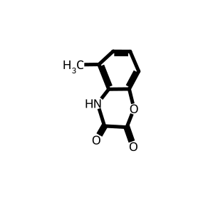 Cc1cccc2oc(=O)c(=O)[nH]c12